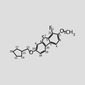 COc1ccc2c(sc3cc(OCC4CCCC4)ccc32)c1F